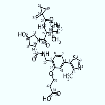 Cc1ncsc1-c1ccc(CNC(=O)[C@@H]2C[C@@H](O)CN2C(=O)[C@@H](NC(=O)C2(F)CC2)C(C)(C)C)c(OCCC(=O)O)c1